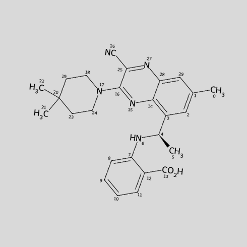 Cc1cc([C@@H](C)Nc2ccccc2C(=O)O)c2nc(N3CCC(C)(C)CC3)c(C#N)nc2c1